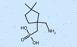 CC1(C)CCC(CN)(CP(=O)(O)O)C1